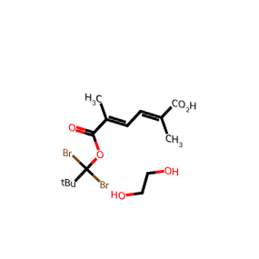 CC(=CC=C(C)C(=O)OC(Br)(Br)C(C)(C)C)C(=O)O.OCCO